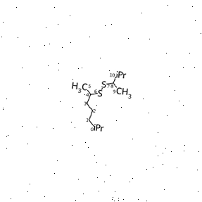 CC(C)CCCC(C)SSC(C)C(C)C